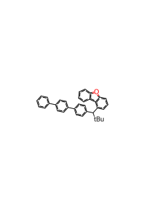 CC(C)(C)C(c1ccc(-c2ccc(-c3ccccc3)cc2)cc1)c1cccc2oc3ccccc3c12